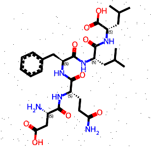 CC(C)C[C@H](NC(=O)[C@H](CC(C)C)NC(=O)[C@H](Cc1ccccc1)NC(=O)[C@H](CCC(N)=O)NC(=O)[C@@H](N)CC(=O)O)C(=O)O